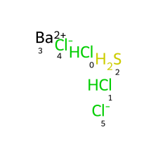 Cl.Cl.S.[Ba+2].[Cl-].[Cl-]